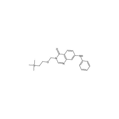 C[Si](C)(C)CCOCn1cnc2cc(Nc3ccccc3)ccc2c1=O